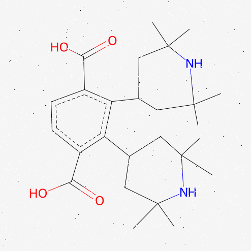 CC1(C)CC(c2c(C(=O)O)ccc(C(=O)O)c2C2CC(C)(C)NC(C)(C)C2)CC(C)(C)N1